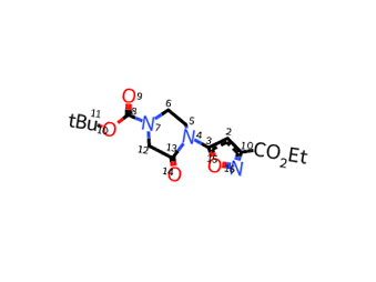 CCOC(=O)c1cc(N2CCN(C(=O)OC(C)(C)C)CC2=O)on1